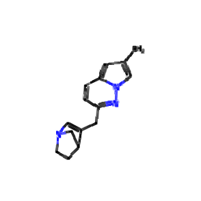 Bc1cc2ccc(CC3=CN4CCC3C4)nn2c1